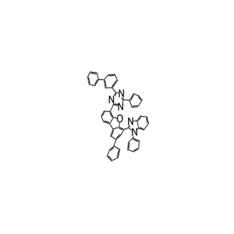 c1ccc(-c2cccc(-c3nc(-c4ccccc4)nc(-c4cccc5c4oc4c(-c6nc7ccccc7n6-c6ccccc6)cc(-c6ccccc6)cc45)n3)c2)cc1